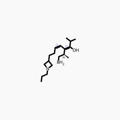 BC[C@H](C)C(/C=C\CCC1CN(CCC)C1)=C(\O)C(C)C